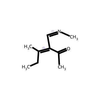 CC/C(C)=C(/C=N\C)C(C)=O